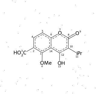 COc1c(C(=O)O)ccc2oc(=O)c(C(C)C)c(O)c12